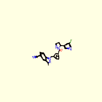 Cc1nn(CC2CC(C(=O)N3N=CCC3c3cncc(F)c3)C3CC2C3)c2ccc(C#N)cc12